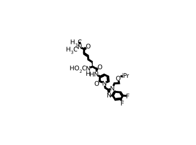 CC(C)OCCn1c(Cn2cccc(NC(=O)[C@H](CC/C=C/C(=O)N(C)C)NC(=O)O)c2=O)nc2cc(F)c(F)cc21